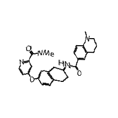 CNC(=O)c1cc(Oc2ccc3c(c2)CC(NC(=O)c2ccc4c(c2)CCCN4C)CC3)ccn1